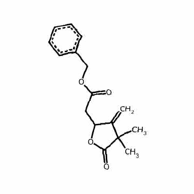 C=C1C(CC(=O)OCc2ccccc2)OC(=O)C1(C)C